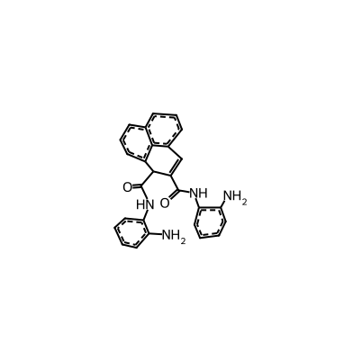 Nc1ccccc1NC(=O)C1=Cc2cccc3cccc(c23)C1C(=O)Nc1ccccc1N